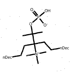 CCCCCCCCCCCCC(CCCCCCCCCCCC)(C(C)(C)OP(=O)([O-])O)[N+](C)(C)C